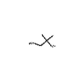 [CH2]CCC(C)(C)C[CH]CC